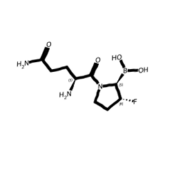 NC(=O)CC[C@H](N)C(=O)N1CC[C@@H](F)[C@@H]1B(O)O